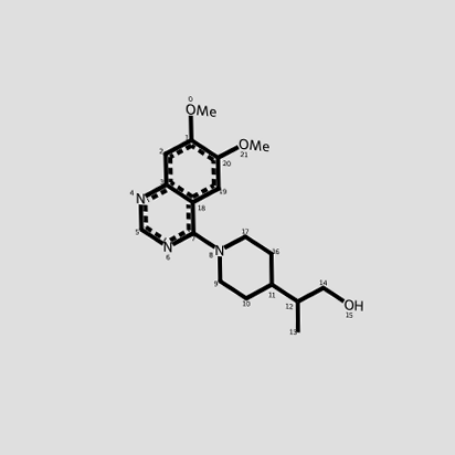 COc1cc2ncnc(N3CCC(C(C)CO)CC3)c2cc1OC